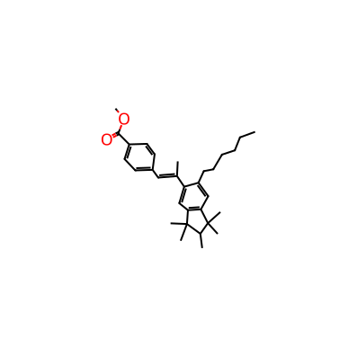 CCCCCCc1cc2c(cc1/C(C)=C/c1ccc(C(=O)OC)cc1)C(C)(C)C(C)C2(C)C